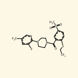 CS(=O)(=O)c1ccc(SCC(F)(F)F)c(C(=O)N2CCN(c3ncc(C(F)(F)F)cc3F)CC2)c1